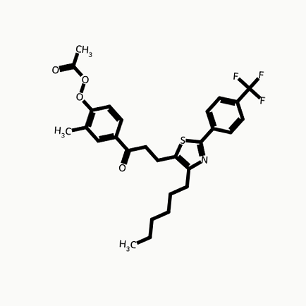 CCCCCCc1nc(-c2ccc(C(F)(F)F)cc2)sc1CCC(=O)c1ccc(OOC(C)=O)c(C)c1